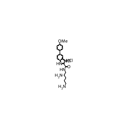 COc1ccc(-c2ccc3[nH]c(C(=O)NC[C@@H](N)CCCN)nc3c2)cc1.Cl.Cl